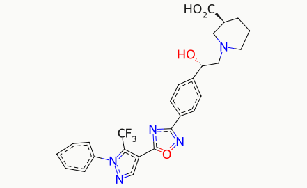 O=C(O)[C@H]1CCCN(C[C@@H](O)c2ccc(-c3noc(-c4cnn(-c5ccccc5)c4C(F)(F)F)n3)cc2)C1